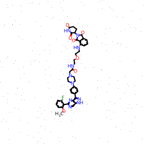 COc1cccc(F)c1-c1ncc2[nH]nc(-c3ccc(N4CCN(CC(=O)NCCOCCNc5cccc6c5C(=O)N(C5CCC(=O)NC5=O)C6=O)CC4)cc3)c2n1